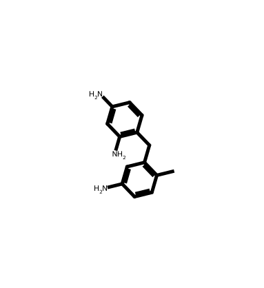 Cc1ccc(N)cc1Cc1ccc(N)cc1N